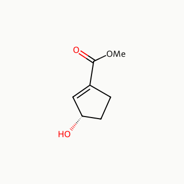 COC(=O)C1=C[C@@H](O)CC1